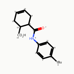 CC(C)(C)c1ccc(NC(=O)C2CC=CCC2C(=O)O)cc1